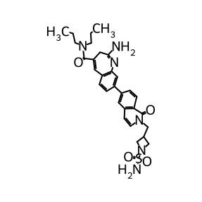 CCCN(CCC)C(=O)C1=Cc2ccc(-c3ccc4c(=O)n(CC5CN(S(N)(=O)=O)C5)ccc4c3)cc2N=C(N)C1